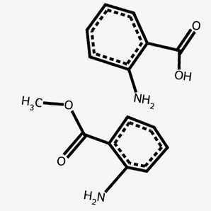 COC(=O)c1ccccc1N.Nc1ccccc1C(=O)O